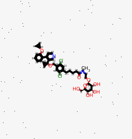 CN(CCO[C@@H]1O[C@H](CO)[C@@H](O)[C@H](O)[C@H]1O)C(=O)CCCCc1cc(Cl)c(COC2(c3cnccc3-c3ccccc3OC3CC3)CC2)cc1Cl